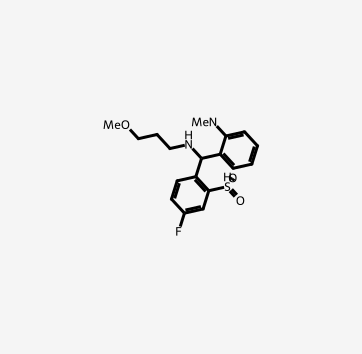 CNc1ccccc1C(NCCCOC)c1ccc(F)cc1[SH](=O)=O